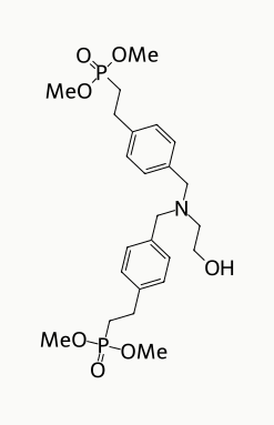 COP(=O)(CCc1ccc(CN(CCO)Cc2ccc(CCP(=O)(OC)OC)cc2)cc1)OC